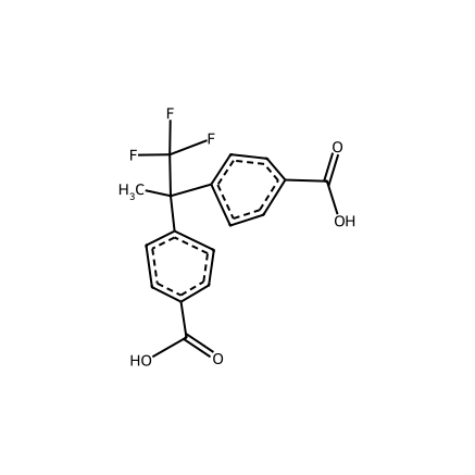 CC(c1ccc(C(=O)O)cc1)(c1ccc(C(=O)O)cc1)C(F)(F)F